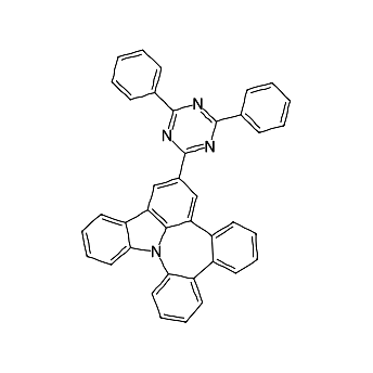 c1ccc(-c2nc(-c3ccccc3)nc(-c3cc4c5c(c3)c3ccccc3n5-c3ccccc3-c3ccccc3-4)n2)cc1